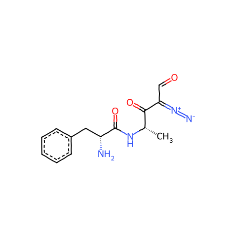 C[C@H](NC(=O)[C@H](N)Cc1ccccc1)C(=O)C(C=O)=[N+]=[N-]